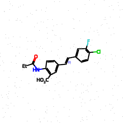 CCC(=O)Nc1ccc(/C=C/c2ccc(Cl)c(F)c2)cc1C(=O)O